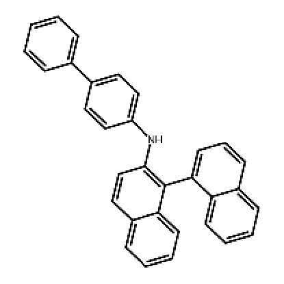 c1ccc(-c2ccc(Nc3ccc4ccccc4c3-c3cccc4ccccc34)cc2)cc1